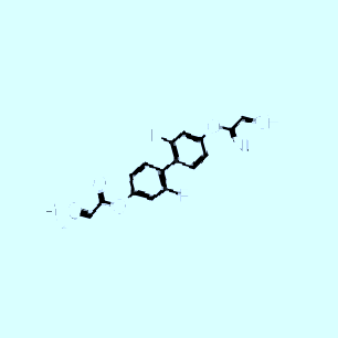 C=CC(=N)Oc1ccc(-c2ccc(OC(=O)C=C)cc2F)c(F)c1